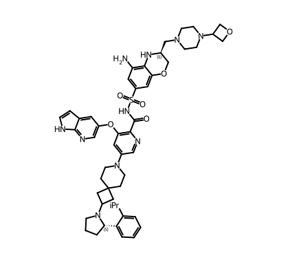 CC(C)c1ccccc1[C@@H]1CCCN1C1CC2(CCN(c3cnc(C(=O)NS(=O)(=O)c4cc(N)c5c(c4)OC[C@H](CN4CCN(C6COC6)CC4)N5)c(Oc4cnc5[nH]ccc5c4)c3)CC2)C1